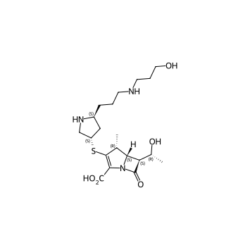 C[C@@H](O)[C@H]1C(=O)N2C(C(=O)O)=C(S[C@@H]3CN[C@@H](CCCNCCCO)C3)[C@H](C)[C@H]12